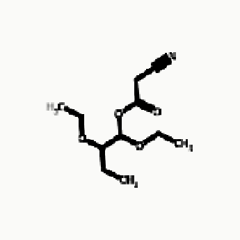 CCOC(CC)C(OCC)OC(=O)CC#N